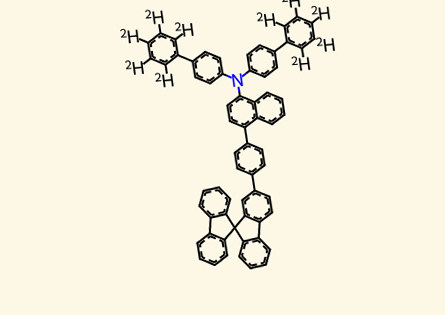 [2H]c1c([2H])c([2H])c(-c2ccc(N(c3ccc(-c4c([2H])c([2H])c([2H])c([2H])c4[2H])cc3)c3ccc(-c4ccc(-c5ccc6c(c5)C5(c7ccccc7-c7ccccc75)c5ccccc5-6)cc4)c4ccccc34)cc2)c([2H])c1[2H]